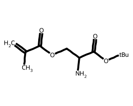 C=C(C)C(=O)OCC(N)C(=O)OC(C)(C)C